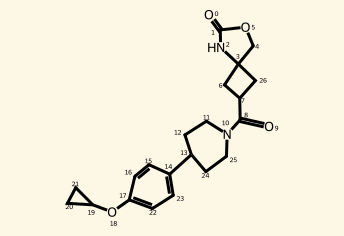 O=C1NC2(CO1)CC(C(=O)N1CCC(c3ccc(OC4CC4)cc3)CC1)C2